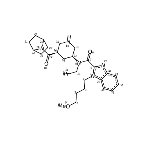 COCCCCn1c(C(=O)N(CC(C)C)[C@@H]2CNC[C@H](C(=O)N3C4CCC3CC4)C2)nc2ccccc21